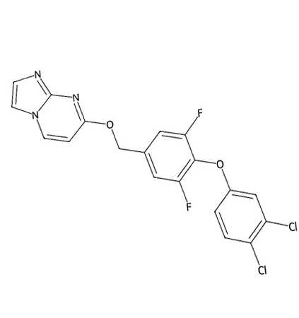 Fc1cc(COc2ccn3ccnc3n2)cc(F)c1Oc1ccc(Cl)c(Cl)c1